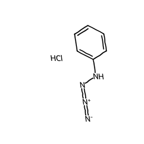 Cl.[N-]=[N+]=NNc1ccccc1